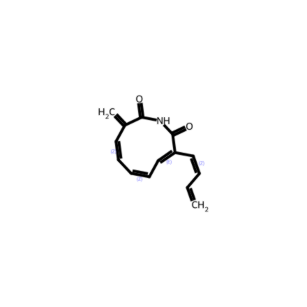 C=C\C=C/C1=C\C=C/C=C\C(=C)C(=O)NC1=O